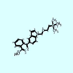 C[Si](C)(C)CCOCn1ccc2cc(C(=O)c3ccccc3C(=O)O)ccc21